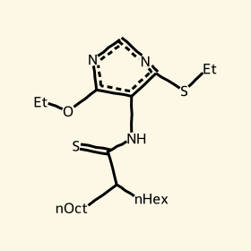 CCCCCCCCC(CCCCCC)C(=S)Nc1c(OCC)ncnc1SCC